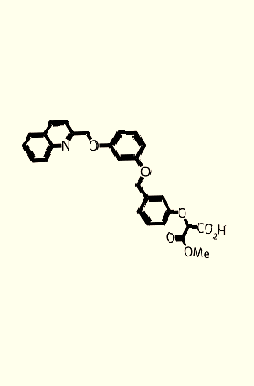 COC(=O)C(Oc1cccc(COc2cccc(OCc3ccc4ccccc4n3)c2)c1)C(=O)O